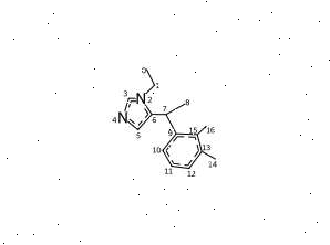 CCn1cncc1C(C)c1cccc(C)c1C